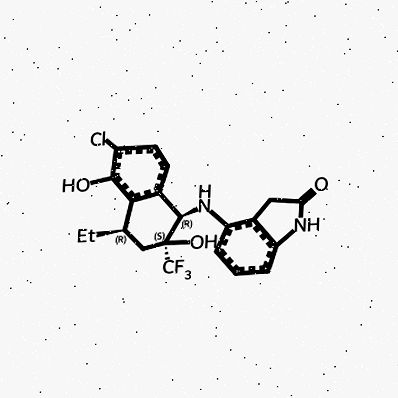 CC[C@@H]1C[C@@](O)(C(F)(F)F)[C@H](Nc2cccc3c2CC(=O)N3)c2ccc(Cl)c(O)c21